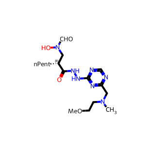 CCCCC[C@H](CN(O)C=O)C(=O)NNc1ncnc(CN(C)CCOC)n1